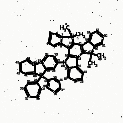 CC1(C)c2ccccc2-c2c1c1c(c3c4ccccc4n(-c4ccc5c(c4)C(c4ccccc4)(c4ccccc4)c4ccccc4-5)c23)C(C)(C)c2ccccc2-1